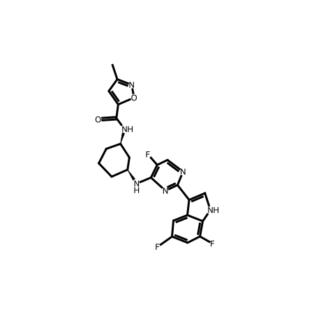 Cc1cc(C(=O)N[C@@H]2CCC[C@H](Nc3nc(-c4c[nH]c5c(F)cc(F)cc45)ncc3F)C2)on1